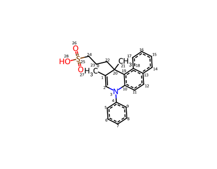 CC1=CN(c2ccccc2)c2ccc3ccccc3c2C1(C)CCCS(=O)(=O)O